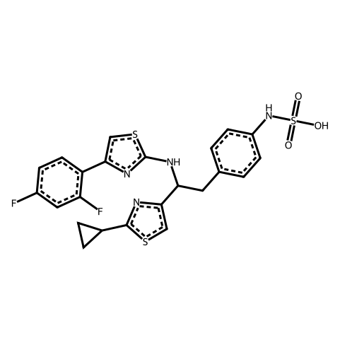 O=S(=O)(O)Nc1ccc(CC(Nc2nc(-c3ccc(F)cc3F)cs2)c2csc(C3CC3)n2)cc1